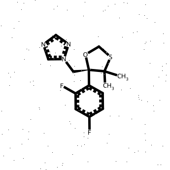 CC1(C)SCO[C@@]1(Cn1cncn1)c1ccc(F)cc1F